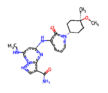 CNc1cc(Nc2cccn([C@H]3CC[C@](C)(OC)CC3)c2=O)nc2c(C(N)=O)cnn12